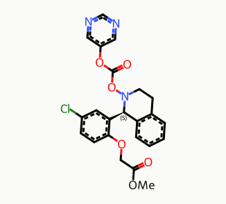 COC(=O)COc1ccc(Cl)cc1[C@@H]1c2ccccc2CCN1OC(=O)Oc1cncnc1